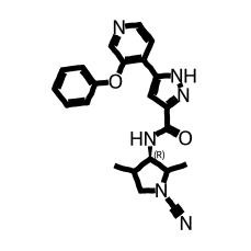 CC1CN(C#N)C(C)[C@@H]1NC(=O)c1cc(-c2ccncc2Oc2ccccc2)[nH]n1